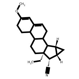 CC[C@]12CCC3C4CCC(OC)=CC4=CCC3C1[C@@H]1C[C@@H]1[C@@H]2C#N